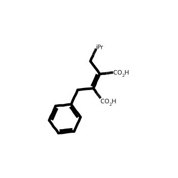 CC(C)C/C(C(=O)O)=C(\Cc1ccccc1)C(=O)O